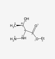 CCOC(=O)C(NN)[C@@H](C)O